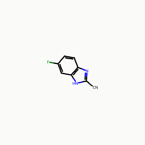 N#Cc1nc2ccc(F)cc2[nH]1